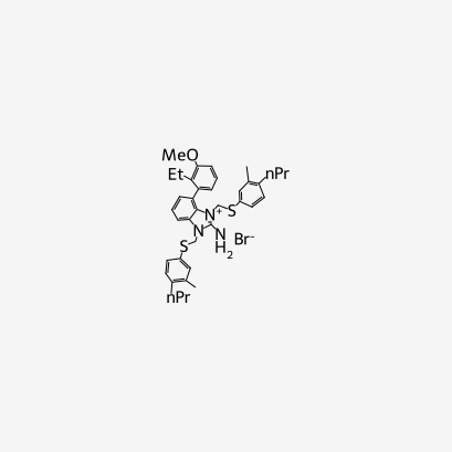 CCCc1ccc(SCn2c(N)[n+](CSc3ccc(CCC)c(C)c3)c3c(-c4cccc(OC)c4CC)cccc32)cc1C.[Br-]